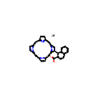 O=C(O)c1ccc2ccccc2c1-c1cc2cc3nc(cc4ccc(cc5nc(cc1[nH]2)C=C5)[nH]4)C=C3.[Cd]